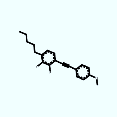 CCCCCc1ccc(C#Cc2ccc(OC)cc2)c(F)c1F